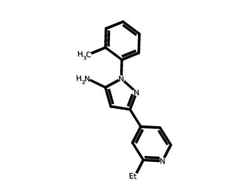 CCc1cc(-c2cc(N)n(-c3ccccc3C)n2)ccn1